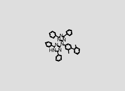 Cc1ccccc1-c1ccc(N(C2=NC(c3ccccc3)NC(c3ccccc3)=N2)c2nc(-c3ccccc3)nc(-c3ccccc3)n2)cc1C